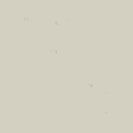 CC(=O)N1CC(O)C[C@H]1C(=O)Nc1ccc(-c2ccc(C(=O)O)c(=O)[nH]2)cc1